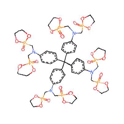 O=P1(CN(CP2(=O)OCCO2)c2ccc(C(c3ccc(N(CP4(=O)OCCO4)CP4(=O)OCCO4)cc3)(c3ccc(N(CP4(=O)OCCO4)CP4(=O)OCCO4)cc3)c3ccc(N(CP4(=O)OCCO4)CP4(=O)OCCO4)cc3)cc2)OCCO1